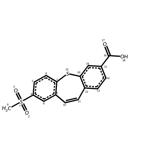 CS(=O)(=O)c1ccc2c(c1)C=Cc1ccc(C(=O)O)cc1S2